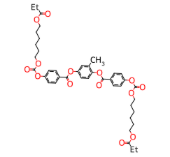 CCC(=O)OCCCCCCOC(=O)Oc1ccc(C(=O)Oc2ccc(OC(=O)c3ccc(OC(=O)OCCCCCCOC(=O)CC)cc3)c(C)c2)cc1